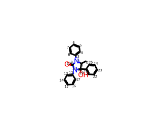 CC1N(c2ccccc2)C(=O)N(c2ccccc2)C1(O)c1ccccc1